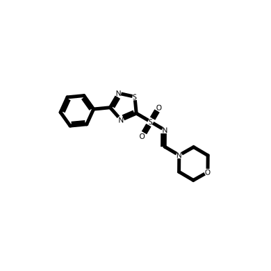 O=S(=O)(N=CN1CCOCC1)c1nc(-c2ccccc2)ns1